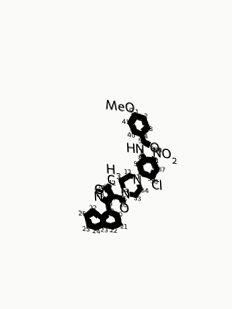 COc1ccc(C(=O)Nc2cc(N3CCN(C(=O)c4c(-c5cccc6ccccc56)noc4C)CC3)c(Cl)cc2[N+](=O)[O-])cc1